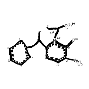 CC(c1ccccc1)c1ccc(N)c(=O)n1C(C)C(=O)O